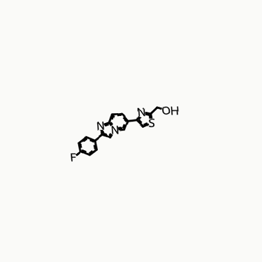 OCc1nc(-c2ccc3nc(-c4ccc(F)cc4)cn3c2)cs1